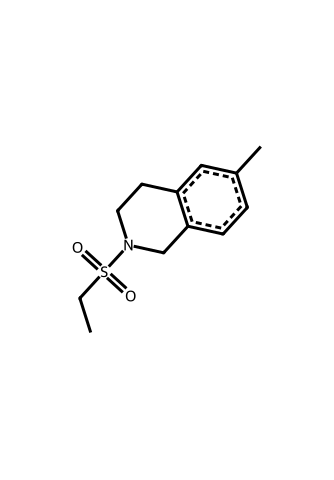 CCS(=O)(=O)N1CCc2cc(C)ccc2C1